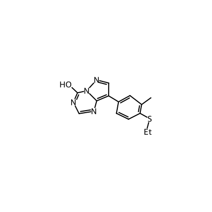 CCSc1ccc(-c2cnn3c(O)ncnc23)cc1C